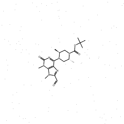 C[C@@H]1CN(c2nc(=O)n(C)c3c2nc(C=O)n3C)[C@@H](C)CN1C(=O)OC(C)(C)C